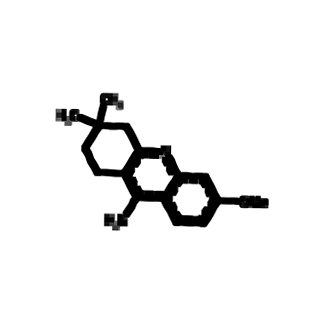 COc1ccc2c(N)c3c(nc2c1)CC(C)(C)CC3